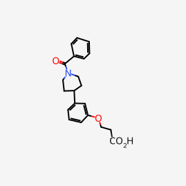 O=C(O)CCOc1cccc(C2CCN(C(=O)c3ccccc3)CC2)c1